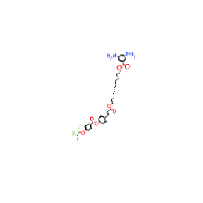 Nc1cc(N)cc(C(=O)OCCCCCCCCCCCOC(=O)/C=C/c2ccc(OC(=O)c3ccc(OC(F)C(F)F)cc3)cc2)c1